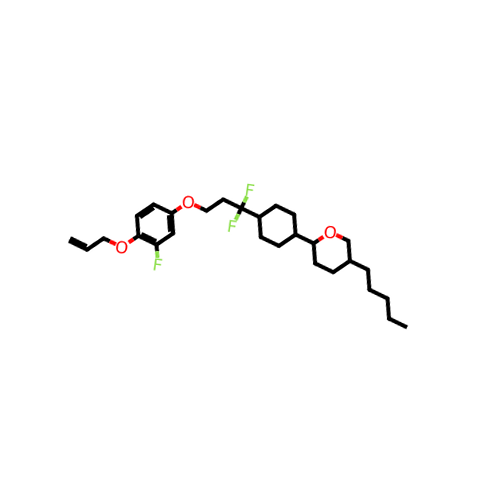 C=CCOc1ccc(OCCC(F)(F)C2CCC(C3CCC(CCCCC)CO3)CC2)cc1F